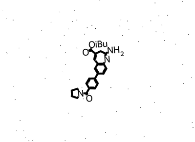 CC(C)COC(=O)C1=Cc2cc(-c3ccc(C(=O)N4CCCC4)cc3)ccc2N=C(N)C1